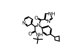 CC(C)(C)NC(=O)C(c1cccnc1)N(C(=O)c1c[nH]cn1)c1ccc(C2CCC2)cc1